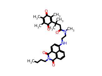 CCCCN1C(=O)c2cccc3c(NCCN(C)C(=O)CC(C)(C)C4=C(C)C(=O)C(C)=C(C)C4=O)ccc(c23)C1=O